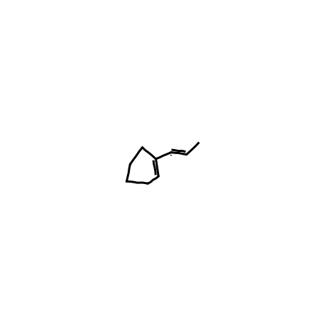 C/C=[C]/C1=CCCCC1